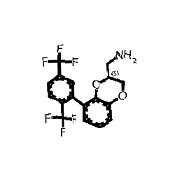 NC[C@H]1COc2cccc(-c3cc(C(F)(F)F)ccc3C(F)(F)F)c2O1